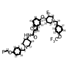 O=C(NC1CCN(Cc2ccc(OCF)cc2)CC1)c1cc2cc(O[C@@H]3CCN(Cc4ccc(OC(F)(F)F)cc4)C[C@H]3F)ccc2o1